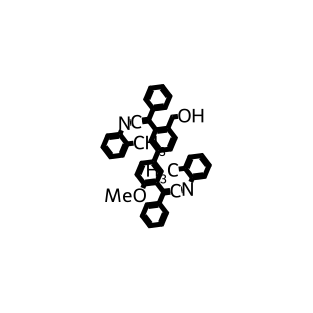 COc1ccc(-c2ccc(CO)c(C(=C=Nc3ccccc3C)c3ccccc3)c2)cc1C(=C=Nc1ccccc1C)c1ccccc1